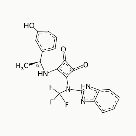 C[C@H](Nc1c(N(c2nc3ccccc3[nH]2)C(F)(F)F)c(=O)c1=O)c1cccc(O)c1